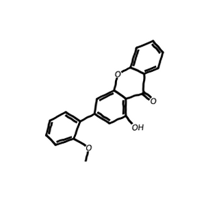 COc1ccccc1-c1cc(O)c2c(=O)c3ccccc3oc2c1